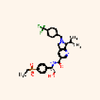 CCS(=O)(=O)c1ccc([C@@H](CO)NC(=O)c2cnc3c(c2)CN(CC2CCC(C(F)(F)F)CC2)C3C(C)C)cc1